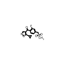 CS(=O)(=O)Cc1ccc(C(=O)c2cnoc2C2CC2)c(F)c1